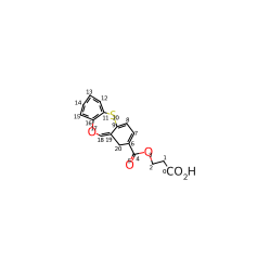 O=C(O)CCOC(=O)C1=CC=C2Sc3ccccc3OC=C2C1